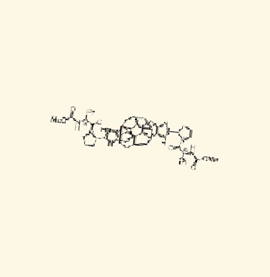 COC(=O)N[C@H](C(=O)N1CCCC1c1nc2ccc(C3=CC4=CCC3CCc3ccc(c(-c5ccc6nc(C7CCCN7C(=O)[C@@H](NC(=O)OC)C(C)C)[nH]c6c5)c3)CC4)cc2[nH]1)C(C)C